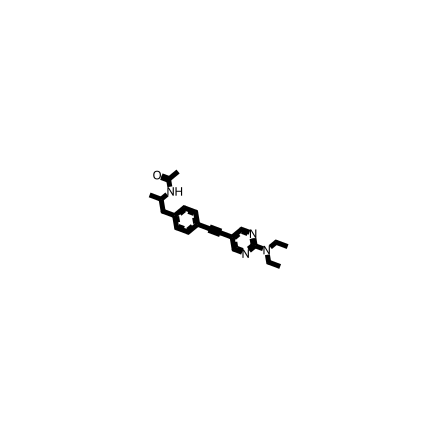 CCN(CC)c1ncc(C#Cc2ccc(CC(C)NC(C)=O)cc2)cn1